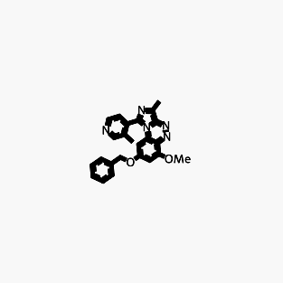 COc1cc(OCc2ccccc2)cc2c1nnc1c(C)nc(-c3ccncc3C)n12